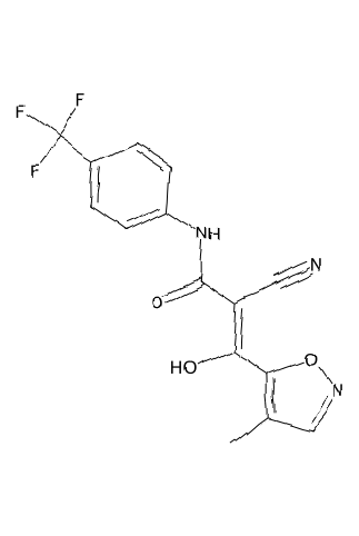 Cc1cnoc1/C(O)=C(\C#N)C(=O)Nc1ccc(C(F)(F)F)cc1